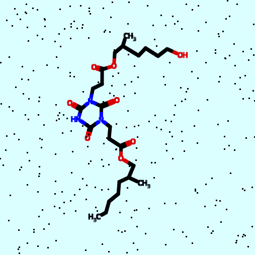 CCCCCC(C)COC(=O)CCn1c(=O)[nH]c(=O)n(CCC(=O)OCC(C)CCCCO)c1=O